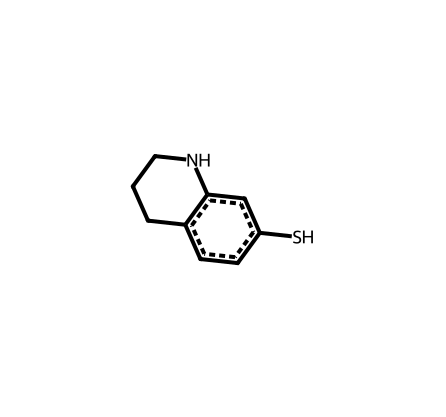 Sc1ccc2c(c1)NCCC2